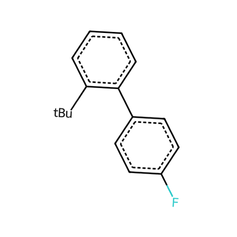 CC(C)(C)c1ccccc1-c1ccc(F)cc1